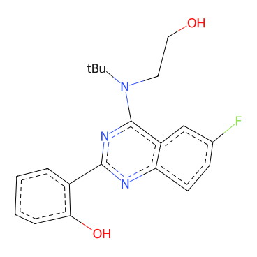 CC(C)(C)N(CCO)c1nc(-c2ccccc2O)nc2ccc(F)cc12